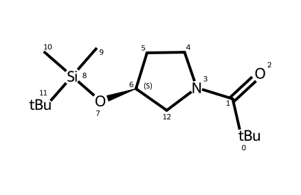 CC(C)(C)C(=O)N1CC[C@H](O[Si](C)(C)C(C)(C)C)C1